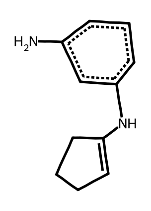 Nc1cccc(NC2=CCCC2)c1